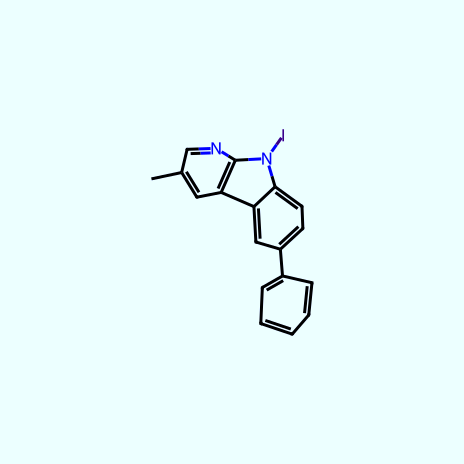 Cc1cnc2c(c1)c1cc(-c3ccccc3)ccc1n2I